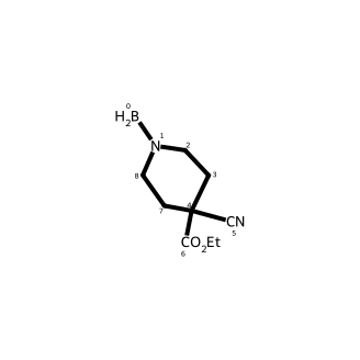 BN1CCC(C#N)(C(=O)OCC)CC1